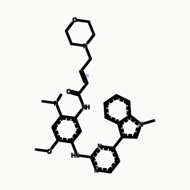 COc1cc(N(C)C)c(NC(=O)/C=C/CN2CCOCC2)cc1Nc1nccc(-c2cn(C)c3ccccc23)n1